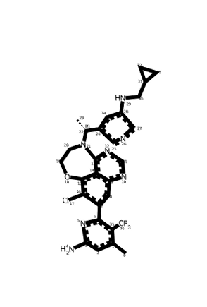 Cc1cc(N)nc(-c2cc3ncnc4c3c(c2Cl)OCCN4[C@H](C)c2cncc(NCC3CC3)c2)c1C(F)(F)F